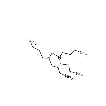 NCCCN(CCCN)CN(CCCN)CCCN